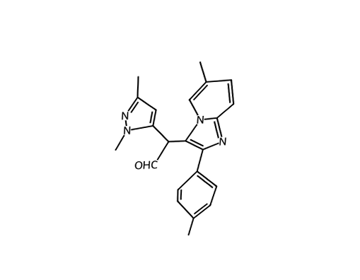 Cc1ccc(-c2nc3ccc(C)cn3c2C(C=O)c2cc(C)nn2C)cc1